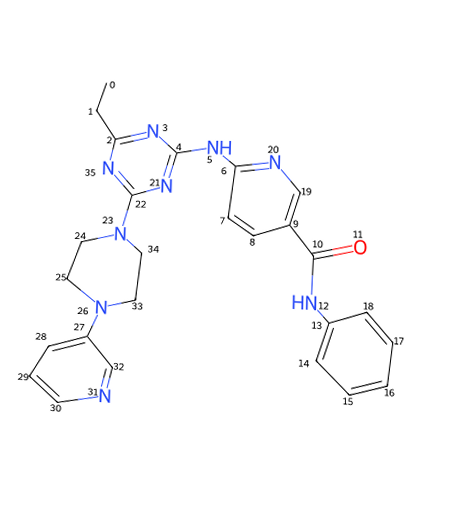 CCc1nc(Nc2ccc(C(=O)Nc3ccccc3)cn2)nc(N2CCN(c3cccnc3)CC2)n1